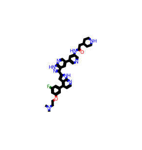 CN(C)CCOc1cc(F)cc(-c2ccnc3[nH]c(-c4n[nH]c5ncc(-c6cncc(NC(=O)CC7CCNCC7)c6)cc45)cc23)c1